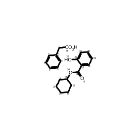 O=C(O)Cc1ccccc1.O=C(OC1CCCCC1)c1ccccc1O